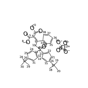 COC(=O)C(C(=O)OC)=C(C[S+](=O)(c1ccc(C(C)(C)C)cc1)c1ccc(C(C)(C)C)cc1)c1ccccc1.[O-][Cl+3]([O-])([O-])[O-]